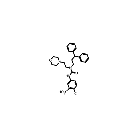 O=C(O)c1cc(NC(=O)N(CCC(c2ccccc2)c2ccccc2)CCN2CCOCC2)ccc1Cl